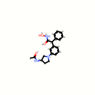 CC(=O)NC1CCN(c2cccc(C(C(=O)NO)c3ccccc3)c2)C1